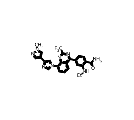 CCNc1cc(-c2nc(C(F)(F)F)nc3c(-n4cnc(-c5cnn(C)c5)c4)cccc23)ccc1C(N)=O